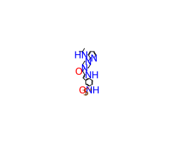 CC(C)Nc1cccnc1N1CCN(C(=O)c2cc3cc(N[S+](C)[O-])ccc3[nH]2)CC1